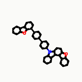 c1ccc2c(c1)oc1c(-c3ccc(-c4ccc(-n5c6ccccc6c6c7c(ccc65)oc5ccccc57)cc4)cc3)cccc12